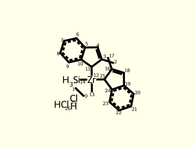 CC.CC1=Cc2ccccc2[CH]1[Zr]([CH3])([SiH3])[CH]1C(C)=Cc2ccccc21.Cl.Cl